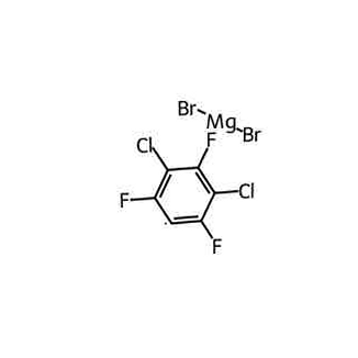 Fc1[c]c(F)c(Cl)c(F)c1Cl.[Br][Mg][Br]